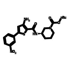 CCCCOC(=O)N1CCC[C@H](NC(=O)c2sc(-c3cccc([N+](=O)[O-])c3)cc2N)C1